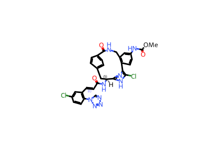 COC(=O)Nc1ccc2c(c1)CNC(=O)c1ccc(cc1)C[C@H](NC(=O)/C=C/c1cc(Cl)ccc1-n1cnnn1)c1nc-2c(Cl)[nH]1